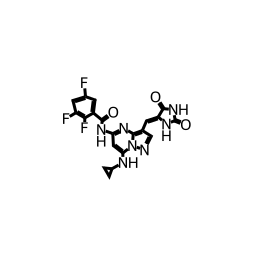 O=C1NC(=O)/C(=C/c2cnn3c(NC4CC4)cc(NC(=O)c4cc(F)cc(F)c4F)nc23)N1